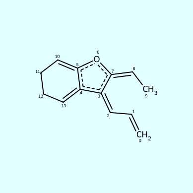 C=C/C=c1/c2c(o/c1=C/C)=CCCC=2